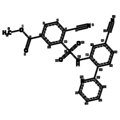 COC(=O)c1ccc(C#N)c(S(=O)(=O)Nc2cc(C#N)ccc2-c2ccccn2)c1